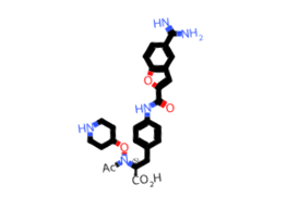 CC(=O)N(OC1CCNCC1)[C@@H](Cc1ccc(NC(=O)c2cc3cc(C(=N)N)ccc3o2)cc1)C(=O)O